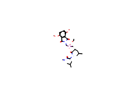 CCOP(=O)(C[C@@H](CC(C)C)C(=O)N[C@@H](CC(C)C)C(=O)NC)CN1C(=O)c2c(OC)ccc(OC)c2C1=O